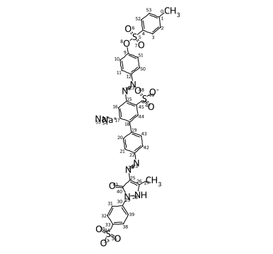 Cc1ccc(S(=O)(=O)Oc2ccc(N=Nc3ccc(-c4ccc(N=Nc5c(C)[nH]n(-c6ccc(S(=O)(=O)[O-])cc6)c5=O)cc4)cc3S(=O)(=O)[O-])cc2)cc1.[Na+].[Na+]